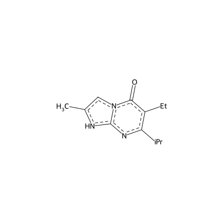 CCc1c(C(C)C)nc2[nH]c(C)cn2c1=O